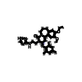 CCOc1cc2c(cc1OC)-c1c/c(=N\c3c(C)cc(C)cc3C)n(CCNc3nc[nH]n3)c(=O)n1CCC2